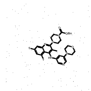 Cc1c(N2CCN(C(=O)OCC(C)C)CC2)nc2cc(F)cc(F)c2c1Nc1cncc(N2CCOCC2)c1